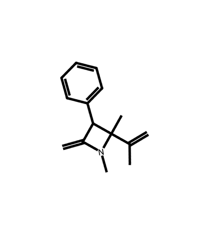 C=C1C(c2ccccc2)C(C)(C(=C)C)N1C